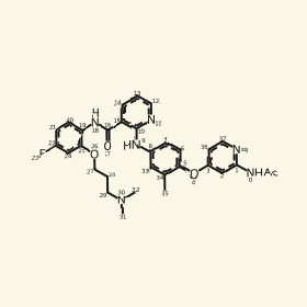 CC(=O)Nc1cc(Oc2ccc(Nc3ncccc3C(=O)Nc3ccc(F)cc3OCCCN(C)C)cc2C)ccn1